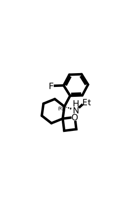 CCN[C@@]1(c2ccccc2F)CCCCC12CCO2